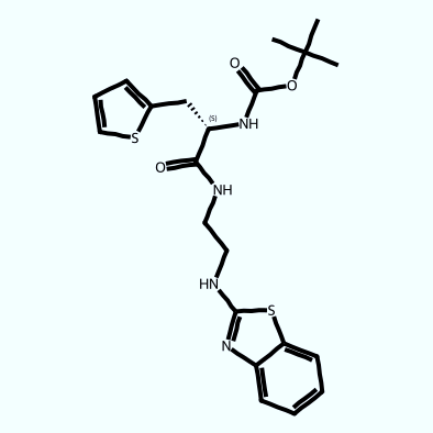 CC(C)(C)OC(=O)N[C@@H](Cc1cccs1)C(=O)NCCNc1nc2ccccc2s1